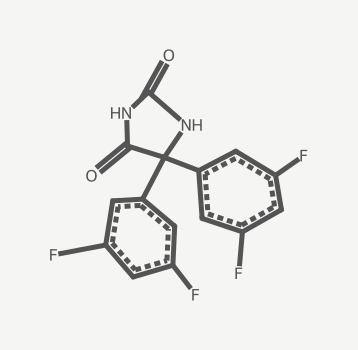 O=C1NC(=O)C(c2cc(F)cc(F)c2)(c2cc(F)cc(F)c2)N1